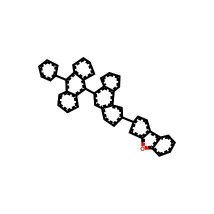 c1ccc(-c2c3ccccc3c(-c3cc4ccc(-c5ccc6c(c5)oc5ccccc56)cc4c4ccccc34)c3ccccc23)cc1